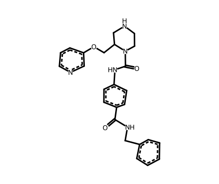 O=C(NCc1ccccc1)c1ccc(NC(=O)N2CCNCC2COc2cccnc2)cc1